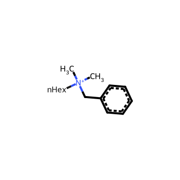 CCCCCC[N+](C)(C)Cc1ccccc1